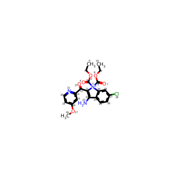 CCOC(=O)[N+]1(C(=O)OCC)C(C(=O)c2cc(OC)ccn2)=C(N)c2ccc(Cl)cc21